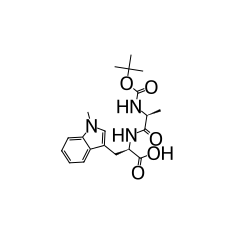 C[C@H](NC(=O)OC(C)(C)C)C(=O)N[C@H](Cc1cn(C)c2ccccc12)C(=O)O